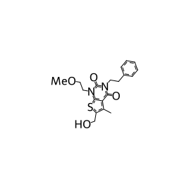 COCCn1c(=O)n(CCc2ccccc2)c(=O)c2c(C)c(CO)sc21